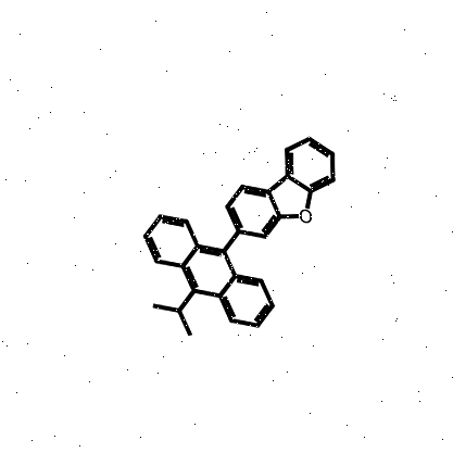 CC(C)c1c2ccccc2c(-c2ccc3c(c2)oc2ccccc23)c2ccccc12